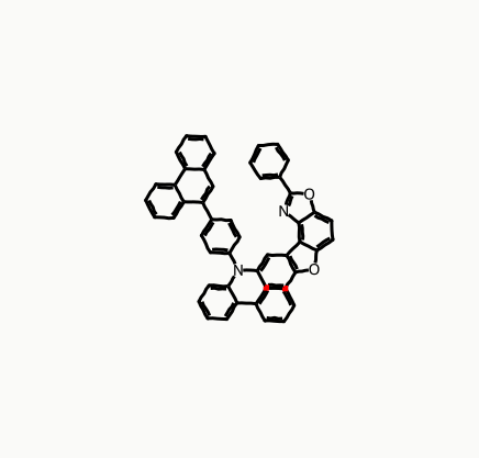 c1ccc(-c2nc3c(ccc4oc5ccc(N(c6ccc(-c7cc8ccccc8c8ccccc78)cc6)c6ccccc6-c6ccccc6)cc5c43)o2)cc1